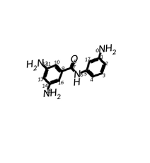 Nc1cccc(NC(=O)c2cc(N)cc(N)c2)c1